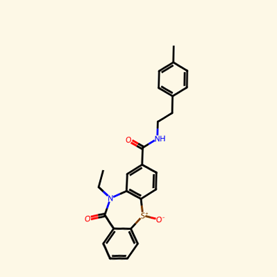 CCN1C(=O)c2ccccc2[S+]([O-])c2ccc(C(=O)NCCc3ccc(C)cc3)cc21